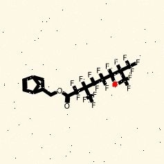 O=C(OCC1CC2C=CC1C2)C(F)(F)C(F)(C(F)(F)F)C(F)(F)C(F)(F)C(F)(F)C(F)(C(F)(F)F)C(F)(F)F